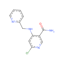 NC(=O)c1cnc(Cl)cc1NCc1ccccn1